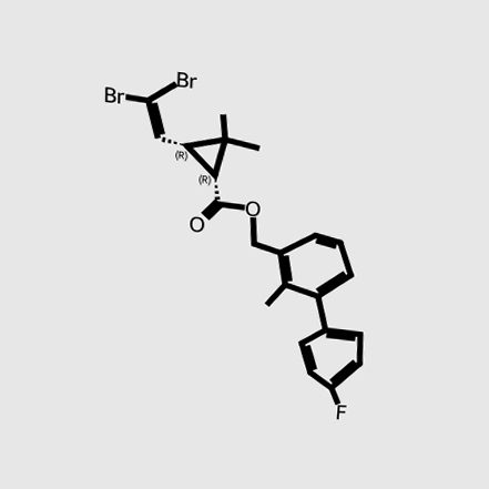 Cc1c(COC(=O)[C@@H]2[C@H](C=C(Br)Br)C2(C)C)cccc1-c1ccc(F)cc1